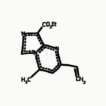 C=Cc1cc(C)n2cnc(C(=O)OCC)c2n1